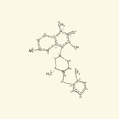 C[C@@H]1CN(c2c(C#N)c(=O)n(C)c3ccc(C#N)nc23)CCN1Cc1ccccc1C(F)(F)F